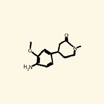 COc1cc(C2CCN(C)C(=O)C2)ccc1N